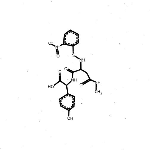 CNC(=O)CC(NSc1ccccc1[N+](=O)[O-])C(=O)NC(C(=O)O)c1ccc(O)cc1